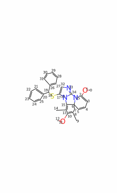 COC1=CC=CC23CC(C)=C(OC)C(C)=C2n2c(SC(c4ccccc4)c4ccccc4)cnc2N13